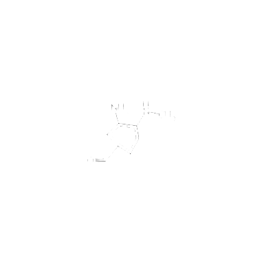 CNc1ccc(C=O)cc1N